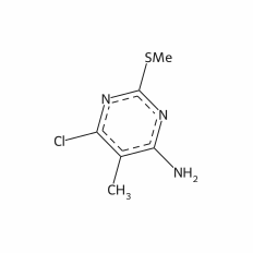 CSc1nc(N)c(C)c(Cl)n1